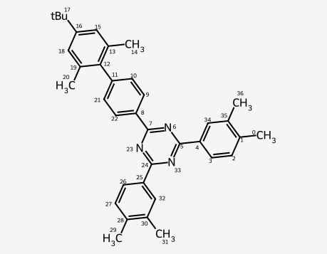 Cc1ccc(-c2nc(-c3ccc(-c4c(C)cc(C(C)(C)C)cc4C)cc3)nc(-c3ccc(C)c(C)c3)n2)cc1C